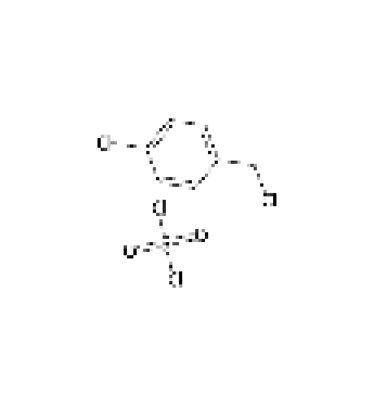 ClCc1ccc(Cl)cc1.O=S(=O)(Cl)Cl